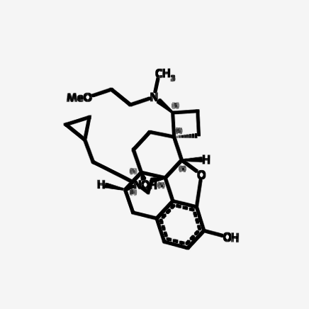 COCCN(C)[C@H]1CC[C@]12CC[C@@]1(O)[C@H]3Cc4ccc(O)c5c4[C@@]1(CCN3CC1CC1)[C@H]2O5